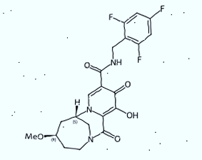 CO[C@@H]1CCN2C[C@H](C1)n1cc(C(=O)NCc3c(F)cc(F)cc3F)c(=O)c(O)c1C2=O